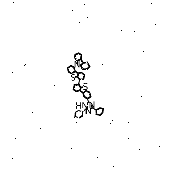 C1=CCC(C2=NC(c3ccccc3)=NC(c3ccc4sc5c(-c6cccc7c6sc6cccc(-n8c9ccccc9c9ccccc98)c67)cccc5c4c3)N2)C=C1